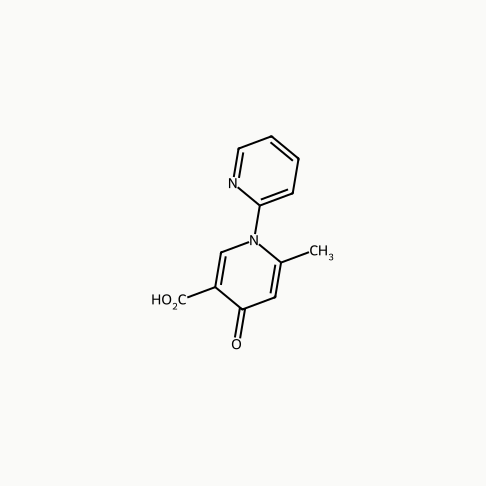 Cc1cc(=O)c(C(=O)O)cn1-c1ccccn1